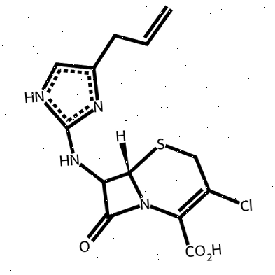 C=CCc1c[nH]c(NC2C(=O)N3C(C(=O)O)=C(Cl)CS[C@@H]23)n1